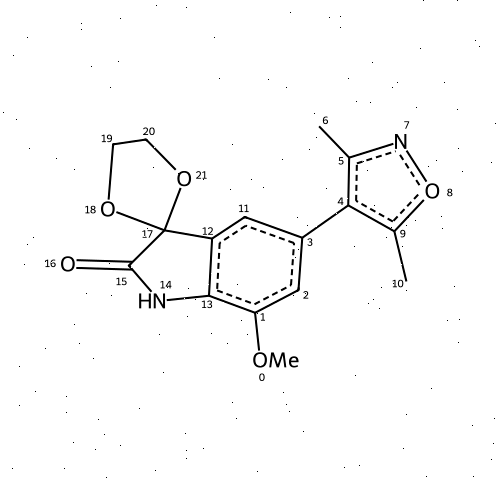 COc1cc(-c2c(C)noc2C)cc2c1NC(=O)C21OCCO1